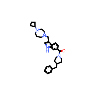 O=C(c1ccc2c(CN3CCCN(C4CCC4)CC3)c[nH]c2c1)N1CCC(Cc2ccccc2)CC1